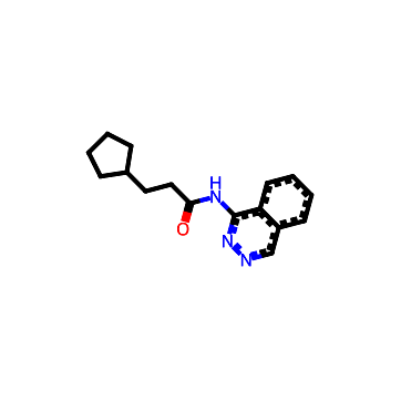 O=C(CCC1CCCC1)Nc1nncc2ccccc12